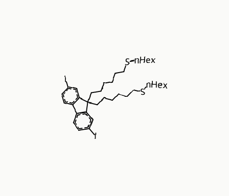 CCCCCCSCCCCCCC1(CCCCCCSCCCCCC)c2cc(I)ccc2-c2ccc(I)cc21